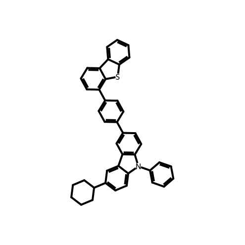 c1ccc(-n2c3ccc(-c4ccc(-c5cccc6c5sc5ccccc56)cc4)cc3c3cc(C4CCCCC4)ccc32)cc1